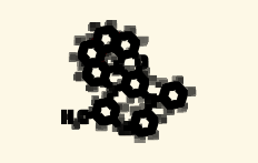 Cc1cc(N2c3cc(N(c4ccccc4)c4ccccc4)cc4c3B(c3c(cccc3-c3ccccc3)O4)c3c(-c4ccccc4)cccc32)cc(C(C)(C)C)c1